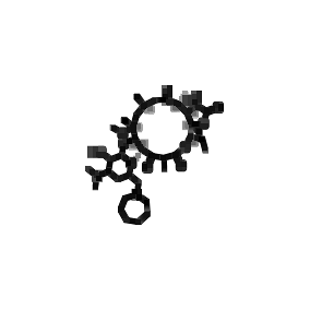 CC[C@H]1OC(=O)C(C)C(=O)[C@H](C)[C@@H](OC2OC(CN3CCCCCC3)CC(N(C)C)C2O)[C@](C)(OC)C[C@@H](C)CN[C@H](C)[C@H]2NC(=O)O[C@@]21C